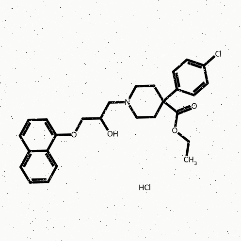 CCOC(=O)C1(c2ccc(Cl)cc2)CCN(CC(O)COc2cccc3ccccc23)CC1.Cl